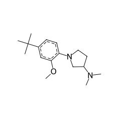 COc1cc(C(C)(C)C)ccc1N1CCC(N(C)C)C1